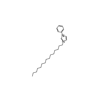 CCCCCCCCCCCCCCC[n+]1ccn(-c2ccccc2)c1